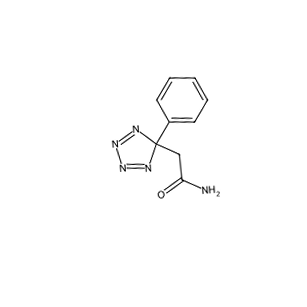 NC(=O)CC1(c2ccccc2)N=NN=N1